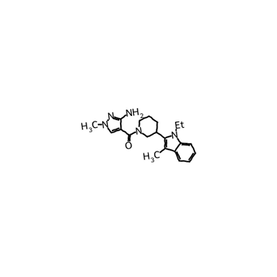 CCn1c(C2CCCN(C(=O)c3cn(C)nc3N)C2)c(C)c2ccccc21